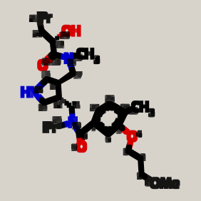 COCCCOc1cc(C(=O)N(C[C@@H]2CNC[C@H]2CN(C)C(=O)[C@@H](O)CC(C)C)C(C)C)ccc1C